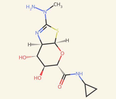 CN(N)C1=N[C@@H]2[C@@H](O)[C@H](O)[C@@H](C(=O)NC3CC3)O[C@@H]2S1